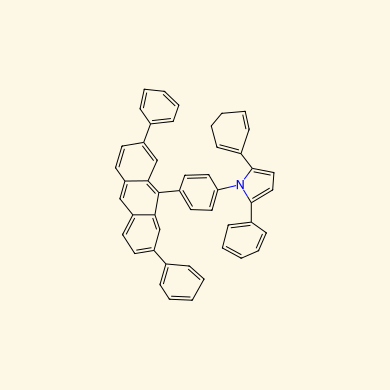 C1=CC(c2ccc(-c3ccccc3)n2-c2ccc(-c3c4cc(-c5ccccc5)ccc4cc4ccc(-c5ccccc5)cc34)cc2)=CCC1